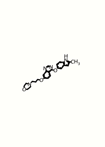 Cc1cc2cc(Oc3ncnc4cc(OCCCN5CCOCC5)ccc34)ccc2[nH]1